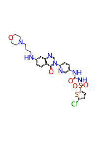 O=C(Nc1ccc(-n2cnc3cc(NCCCN4CCOCC4)ccc3c2=O)nc1)NS(=O)(=O)c1ccc(Cl)s1